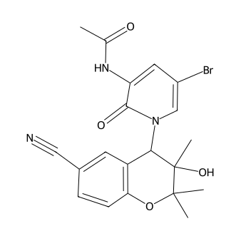 CC(=O)Nc1cc(Br)cn(C2c3cc(C#N)ccc3OC(C)(C)C2(C)O)c1=O